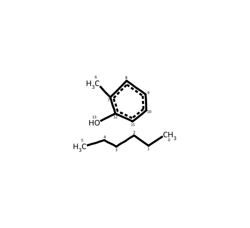 CCCCCC.Cc1ccccc1O